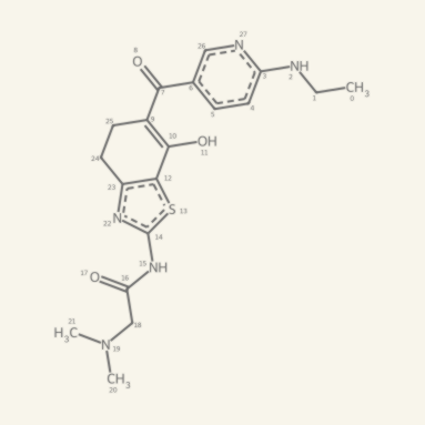 CCNc1ccc(C(=O)C2=C(O)c3sc(NC(=O)CN(C)C)nc3CC2)cn1